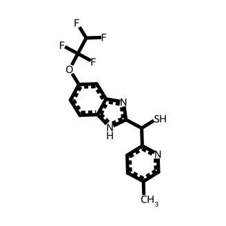 Cc1ccc(C(S)c2nc3cc(OC(F)(F)C(F)F)ccc3[nH]2)nc1